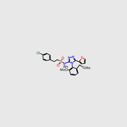 CCCN(c1nnc(-c2ccco2)n1-c1c(COC)cccc1OC)S(=O)(=O)CCc1ccc(Cl)cc1